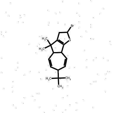 CC(C)(C)C1C=CC2C3=C(CC(Br)S3)C(C)(C)C2C=C1